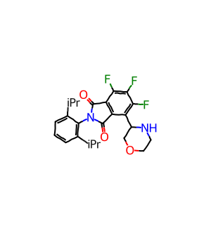 CC(C)c1cccc(C(C)C)c1N1C(=O)c2c(F)c(F)c(F)c(C3COCCN3)c2C1=O